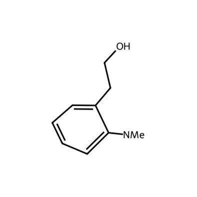 CNc1ccccc1CCO